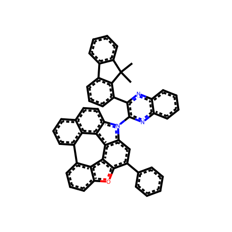 CC1(C)c2ccccc2-c2cccc(-c3nc4ccccc4nc3-n3c4ccc5cccc6c5c4c4c5c(oc7cccc-6c75)c(-c5ccccc5)cc43)c21